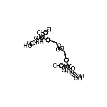 Cc1c(C(=O)NN2CCS([O-])(O)CC2)nn(-c2ccc(Cl)cc2Cl)c1-c1ccc(C#CCCO[N+](=O)OCCC#Cc2ccc(-c3c(C)c(C(=O)NN4CCS(O)(O)CC4)nn3-c3ccc(Cl)cc3Cl)cc2)cc1